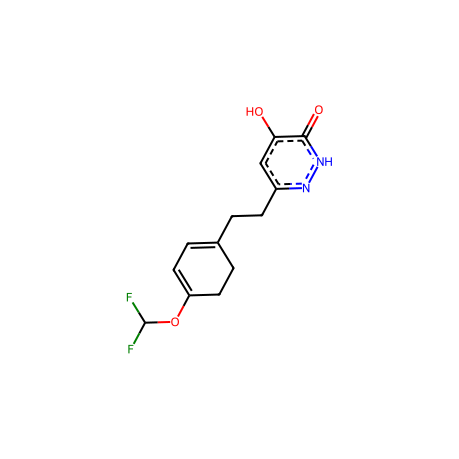 O=c1[nH]nc(CCC2=CC=C(OC(F)F)CC2)cc1O